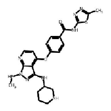 CPn1nc(N[C@@H]2CCCNC2)c2c(Oc3ccc(C(=O)Nc4nnc(C)s4)cc3)ccnc21